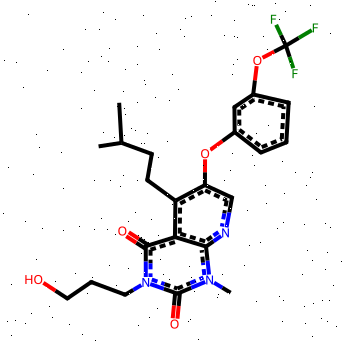 CC(C)CCc1c(Oc2cccc(OC(F)(F)F)c2)cnc2c1c(=O)n(CCCO)c(=O)n2C